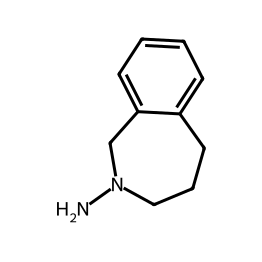 NN1CCCc2ccccc2C1